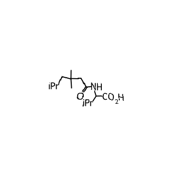 CC(C)CC(C)(C)CC(=O)NC(C(=O)O)C(C)C